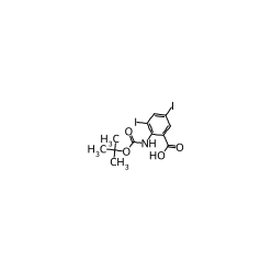 CC(C)(C)OC(=O)Nc1c(I)cc(I)cc1C(=O)O